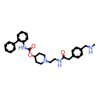 CNCc1ccc(CC(=O)NCCN2CCC(OC(=O)Nc3ccccc3-c3ccccc3)CC2)cc1